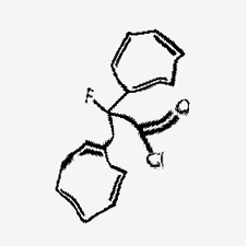 O=C(Cl)C(F)(c1ccccc1)c1ccccc1